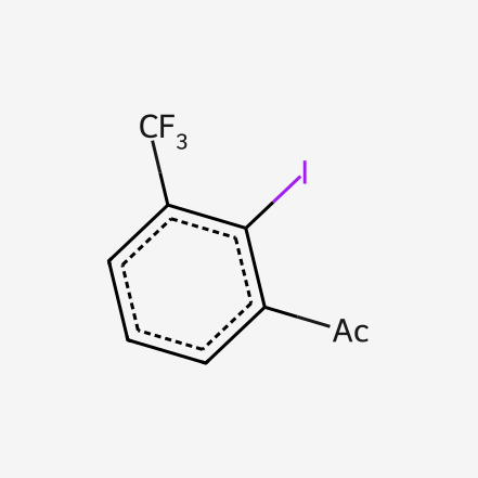 CC(=O)c1cccc(C(F)(F)F)c1I